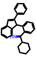 N=C(c1ccccc1C1C(c2ccccc2)=Cc2ccccc21)C1CCCCC1